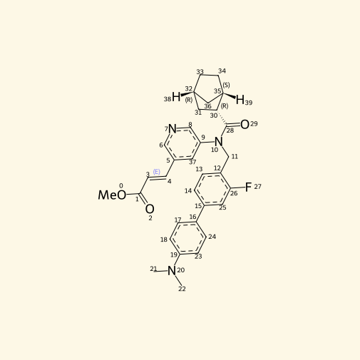 COC(=O)/C=C/c1cncc(N(Cc2ccc(-c3ccc(N(C)C)cc3)cc2F)C(=O)[C@@H]2C[C@@H]3CC[C@H]2C3)c1